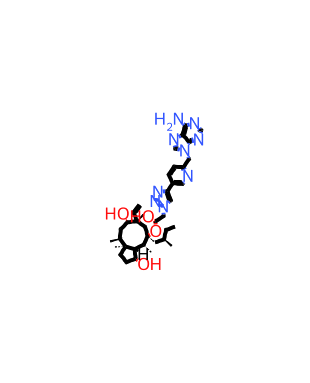 C=C[C@]1(C)C[C@@](C[C@H](C)CC)(OC(O)Cn2cc(-c3ccc(Cn4cnc5c(N)ncnc54)nc3)nn2)[C@H](C)[C@@H]2C(O)CC[C@@]2(C)[C@@H](C)C[C@@H]1O